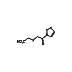 O=C(O)CSCC(=O)c1ccsc1